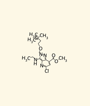 CCNc1c2nc(Cl)cc(C(=O)OC)c2nn1COCC[Si](C)(C)C